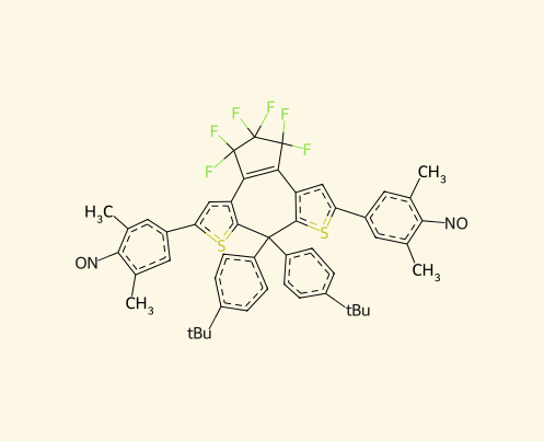 Cc1cc(-c2cc3c(s2)C(c2ccc(C(C)(C)C)cc2)(c2ccc(C(C)(C)C)cc2)c2sc(-c4cc(C)c(N=O)c(C)c4)cc2C2=C3C(F)(F)C(F)(F)C2(F)F)cc(C)c1N=O